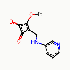 CCOc1c(CNc2cccnc2)c(=O)c1=O